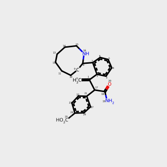 C=C(c1ccccc1C1CCCCCCCN1)C(C(N)=O)c1ccc(C(=O)O)cc1